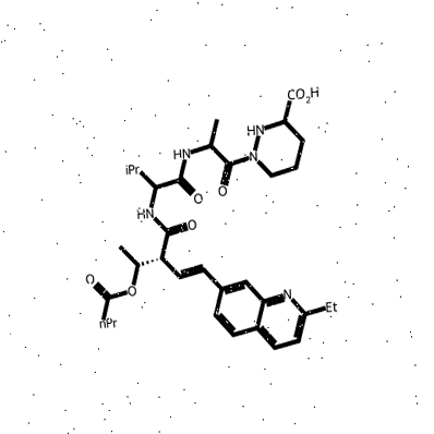 CCCC(=O)OC(C)[C@@H](/C=C/c1ccc2ccc(CC)nc2c1)C(=O)NC(C(=O)NC(C)C(=O)N1CCCC(C(=O)O)N1)C(C)C